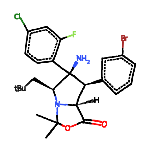 CC(C)(C)C[C@@H]1N2[C@H](C(=O)OC2(C)C)[C@H](c2cccc(Br)c2)[C@@]1(N)c1ccc(Cl)cc1F